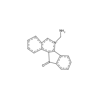 NC[n+]1cc2ccccc2c2c1-c1ccccc1C2=O